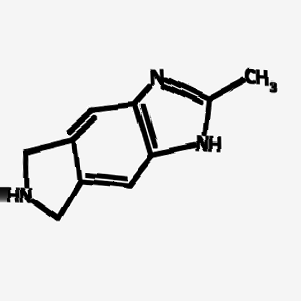 Cc1nc2cc3c(cc2[nH]1)CNC3